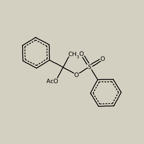 CC(=O)OC(C)(OS(=O)(=O)c1ccccc1)c1ccccc1